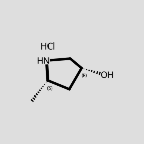 C[C@H]1C[C@@H](O)CN1.Cl